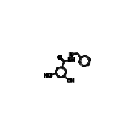 O=C(N/N=C\c1ccccc1)c1cc(O)cc(O)c1